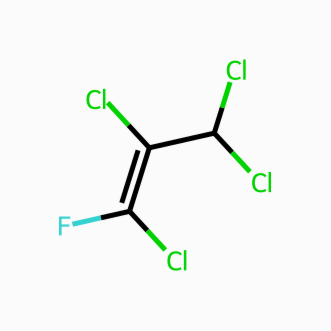 FC(Cl)=C(Cl)C(Cl)Cl